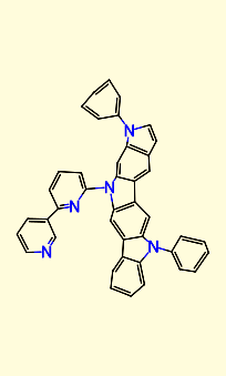 c1ccc(-n2ccc3cc4c5cc6c(cc5n(-c5cccc(-c7cccnc7)n5)c4cc32)c2ccccc2n6-c2ccccc2)cc1